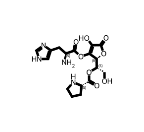 N[C@@H](Cc1c[nH]cn1)C(=O)OC1=C(O)C(=O)O[C@@H]1[C@H](CO)OC(=O)[C@@H]1CCCN1